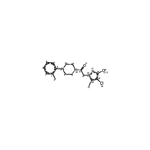 Cc1ccccc1N1CCN(C(=O)Cn2nc(C(F)(F)F)c(Cl)c2C)CC1